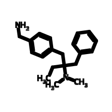 CCC(Cc1ccccc1)(Cc1ccc(CN)cc1)N(C)C